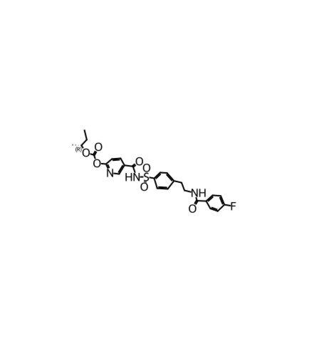 CC[C@@H](C)OC(=O)Oc1ccc(C(=O)NS(=O)(=O)c2ccc(CCNC(=O)c3ccc(F)cc3)cc2)cn1